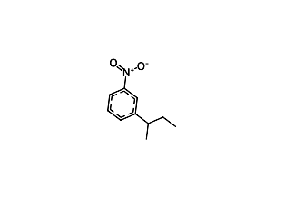 CCC(C)c1cccc([N+](=O)[O-])c1